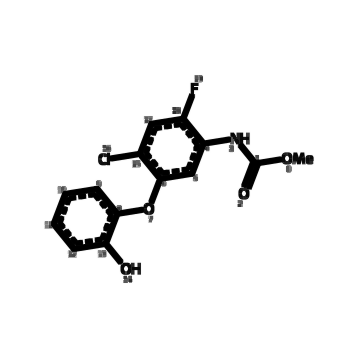 COC(=O)Nc1cc(Oc2ccccc2O)c(Cl)cc1F